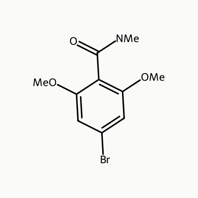 CNC(=O)c1c(OC)cc(Br)cc1OC